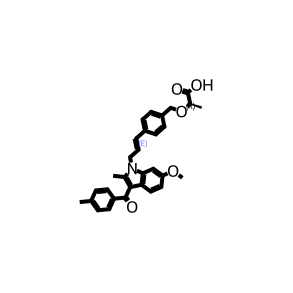 COc1ccc2c(C(=O)c3ccc(C)cc3)c(C)n(C/C=C/c3ccc(CO[C@H](C)C(=O)O)cc3)c2c1